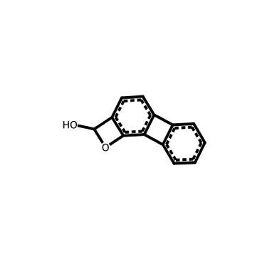 OC1Oc2c1ccc1c2-c2ccccc2-1